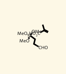 C=C(C)C(=O)O.CO[Si](CCC=O)(OC)OC